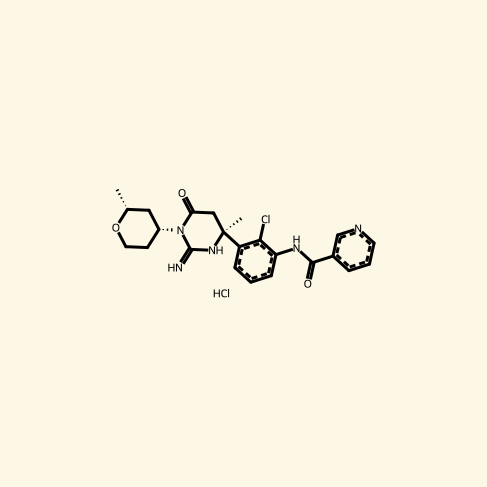 C[C@@H]1C[C@H](N2C(=N)N[C@](C)(c3cccc(NC(=O)c4cccnc4)c3Cl)CC2=O)CCO1.Cl